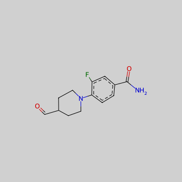 NC(=O)c1ccc(N2CCC(C=O)CC2)c(F)c1